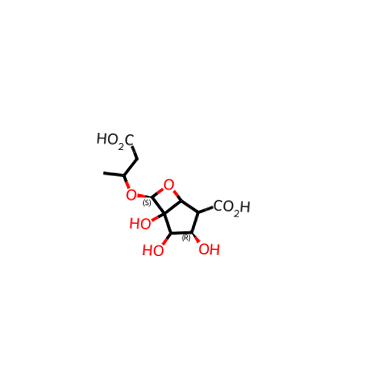 CC(CC(=O)O)O[C@H]1OC2C(C(=O)O)[C@@H](O)C(O)C21O